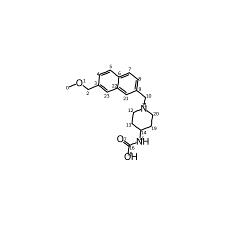 COCc1ccc2ccc(CN3CCC(NC(=O)O)CC3)cc2c1